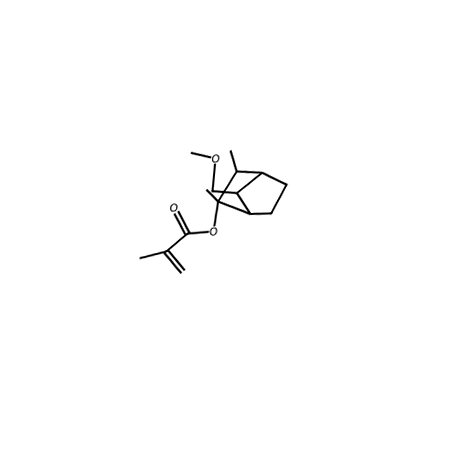 C=C(C)C(=O)OC1(C)C(C)C2CCC1C2COC